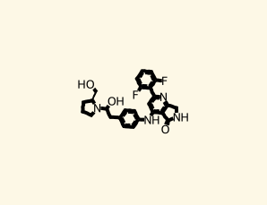 O=C1NCc2nc(-c3c(F)cccc3F)cc(Nc3ccc(CC(O)N4CCC[C@H]4CO)cc3)c21